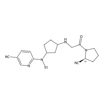 CCN(c1ccc(C#N)cn1)C1CCC(NCC(=O)N2CCC[C@H]2C#N)C1